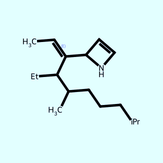 C/C=C(/C1C=CN1)C(CC)C(C)CCCC(C)C